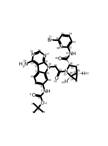 CC(C)(C)OC(=O)Nc1ccc2c3c(N)ncnc3n(CC(=O)N3[C@@H]4C[C@@H]4C[C@H]3C(=O)Nc3cccc(Br)n3)c2c1